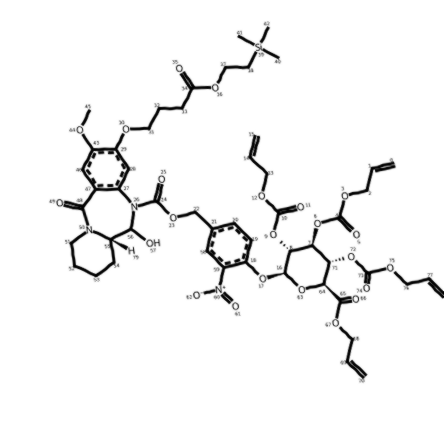 C=CCOC(=O)O[C@@H]1[C@@H](OC(=O)OCC=C)[C@H](Oc2ccc(COC(=O)N3c4cc(OCCCC(=O)OCC[Si](C)(C)C)c(OC)cc4C(=O)N4CCCC[C@H]4C3O)cc2[N+](=O)[O-])O[C@H](C(=O)OCC=C)[C@H]1OC(=O)OCC=C